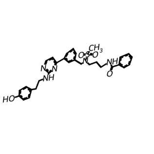 CS(=O)(=O)N(CCCNC(=O)c1ccccc1)Cc1cccc(-c2ccnc(NCCc3ccc(O)cc3)n2)c1